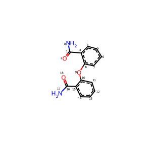 NC(=O)c1ccccc1Oc1ccccc1C(N)=O